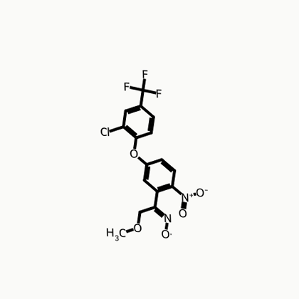 COCC(=N[O])c1cc(Oc2ccc(C(F)(F)F)cc2Cl)ccc1[N+](=O)[O-]